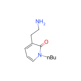 CCCCn1cccc(CCN)c1=O